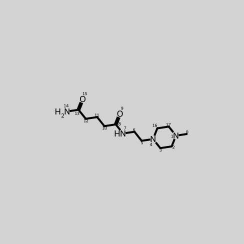 CN1CCN(CCNC(=O)CCCC(N)=O)CC1